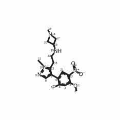 COc1cc(F)c(-c2cnn(C)c2CCNC2CN(C)C2)cc1[N+](=O)[O-]